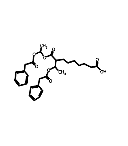 CC(OC(=O)Cc1ccccc1)OC(=O)C(CCCCCCC(=O)O)C(C)OC(=O)Cc1ccccc1